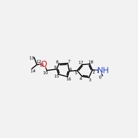 CNc1ccc(-c2ccc(COC(C)C)cc2)cc1